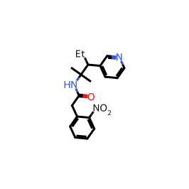 CCC(c1cccnc1)C(C)(C)NC(=O)Cc1ccccc1[N+](=O)[O-]